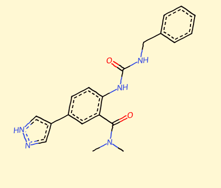 CN(C)C(=O)c1cc(-c2cn[nH]c2)ccc1NC(=O)NCc1ccccc1